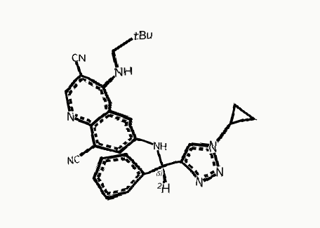 [2H][C@](Nc1cc(C#N)c2ncc(C#N)c(NCC(C)(C)C)c2c1)(c1ccccc1)c1cn(C2CC2)nn1